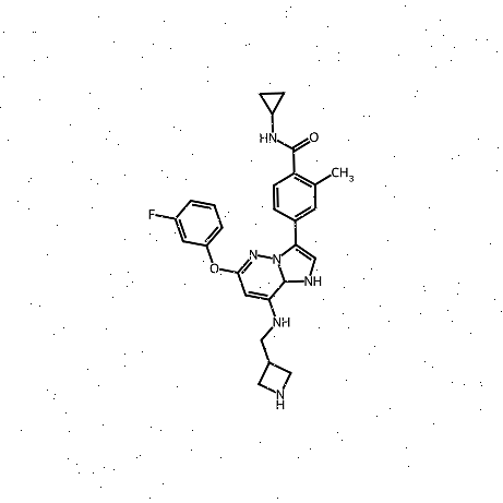 Cc1cc(C2=CNC3C(NCC4CNC4)=CC(Oc4cccc(F)c4)=NN23)ccc1C(=O)NC1CC1